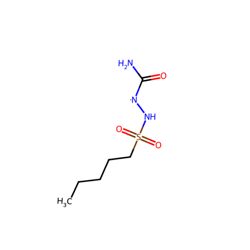 CCCCCS(=O)(=O)N[N]C(N)=O